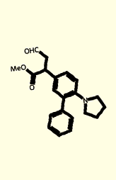 COC(=O)C(CC=O)c1ccc(N2CCCC2)c(-c2ccccc2)c1